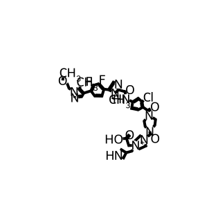 COCCn1ncc(-c2ccc(-c3cnc(C(=O)Nc4ccc(C(=O)N5CCN(C(=O)N6CC[N+](CC(=O)O)(CC7CNC7)CC6)CC5)c(Cl)c4)n3C)c(F)c2F)c1C